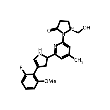 COc1cccc(F)c1C1=CNC(c2cc(C)cc(N3C(=O)CC[C@H]3CO)n2)C1